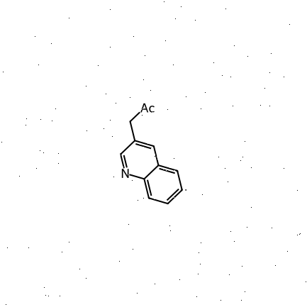 CC(=O)Cc1cnc2cc[c]cc2c1